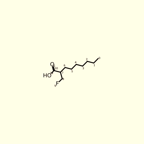 CCCCCCCC(CF)C(=O)O